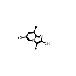 Cc1nc2c(Br)cc(Cl)cn2c1F